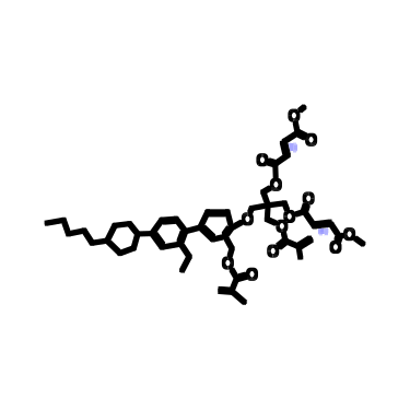 C=C(C)C(=O)OCc1cc(-c2ccc(C3CCC(CCCCC)CC3)cc2CC)ccc1OCC(COC(=O)/C=C/C(=O)OC)(COC(=O)/C=C/C(=O)OC)COC(=O)C(=C)C